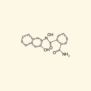 NC(=O)c1ccccc1C(=O)N(O)c1cc2ccccc2cc1O